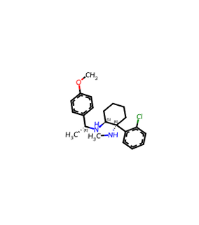 CN[C@@]1(c2ccccc2Cl)CCCC[C@@H]1N[C@H](C)c1ccc(OC)cc1